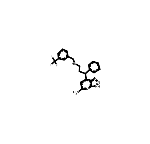 Nc1cc(C(CCNCc2cccc(C(F)(F)F)c2)c2ccccc2)c2nn[nH]c2n1